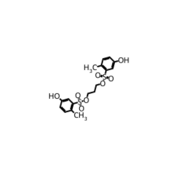 Cc1ccc(O)cc1S(=O)(=O)OCCCOS(=O)(=O)c1cc(O)ccc1C